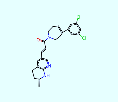 C=C1CCc2cc(/C=C/C(=O)N3CCC=C(c4cc(Cl)cc(Cl)c4)CC3)cnc2N1